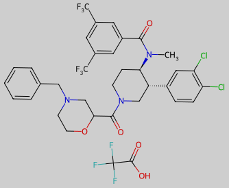 CN(C(=O)c1cc(C(F)(F)F)cc(C(F)(F)F)c1)[C@@H]1CCN(C(=O)C2CN(Cc3ccccc3)CCO2)C[C@H]1c1ccc(Cl)c(Cl)c1.O=C(O)C(F)(F)F